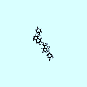 CN1CCC(Oc2ccnc3ccc(CNC(=O)c4cccn(Cc5ccc(F)c(F)c5)c4=O)cc23)CC1